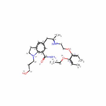 C/C=C(OCCN[C@H](C)Cc1cc2c(c(C(N)=O)c1)N(CCCO)CC2)\C(=C/C)OCC(F)(F)F